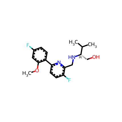 COc1cc(F)ccc1-c1ccc(F)c(CN[C@@H](CO)C(C)C)n1